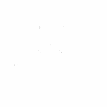 Cc1cc2c3c(c1)N(c1cc(-c4ccccc4)cc(-c4c(C)cccc4C)c1)c1ccc(C(C)C)cc1B3c1cc(C(C)C)ccc1N2c1ccc(C(C)C)cc1